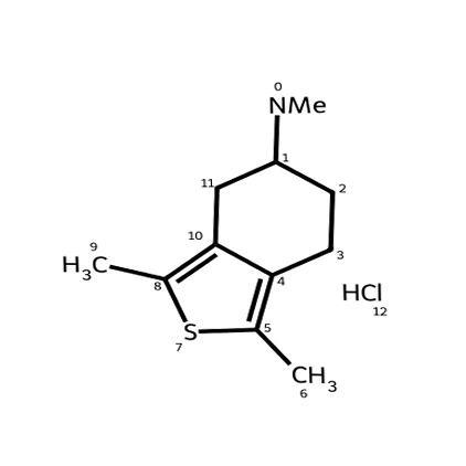 CNC1CCc2c(C)sc(C)c2C1.Cl